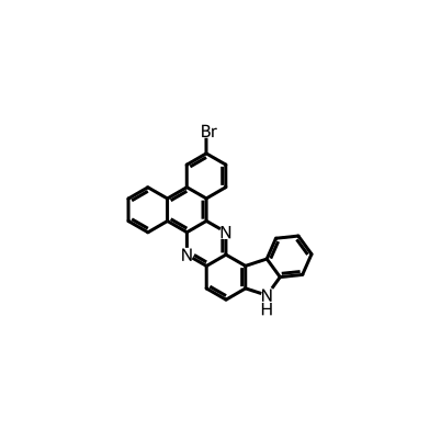 Brc1ccc2c(c1)c1ccccc1c1nc3ccc4[nH]c5ccccc5c4c3nc21